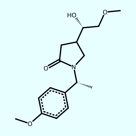 COC[C@@H](O)C1CC(=O)N([C@H](C)c2ccc(OC)cc2)C1